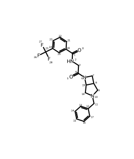 O=C(NCC(=O)N1CC2CN(Cc3ccccc3)CC21)c1cccc(C(F)(F)F)c1